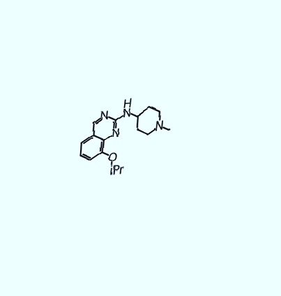 CC(C)Oc1cccc2cnc(NC3CCN(C)CC3)nc12